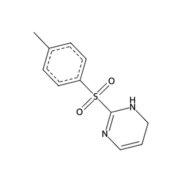 Cc1ccc(S(=O)(=O)C2=NC=CCN2)cc1